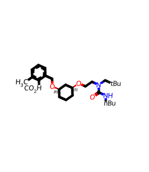 CCCCNC(=O)N(CCO[C@H]1CCC[C@@H](OCc2cccc(C)c2C(=O)O)C1)CC(C)(C)C